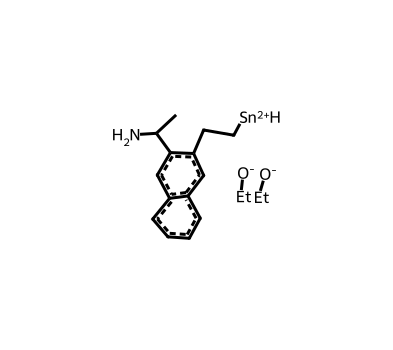 CC(N)c1cc2ccccc2cc1C[CH2][SnH+2].CC[O-].CC[O-]